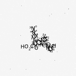 CN(C)C1CN(c2ccc(-n3cc(C(=O)O)c(=O)c4cc(Cl)c(N5CC(C)(C)C[C@@H]5COc5ncccc5Cl)cc43)cn2)C1